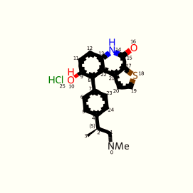 CNC[C@@H](C)c1ccc(-c2c(O)ccc3[nH]c(=O)c4sccc4c23)cc1.Cl